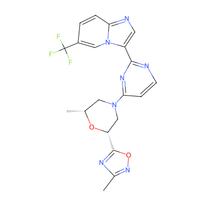 Cc1noc([C@H]2CN(c3ccnc(-c4cnc5ccc(C(F)(F)F)cn45)n3)C[C@@H](C)O2)n1